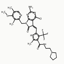 COc1c(C)cnc(CN2C(=O)C(=Cc3[nH]c(C)c(C(=O)NCCN4CCCC4)c3C(F)(F)F)c3c(Cl)nc(N)nc32)c1C